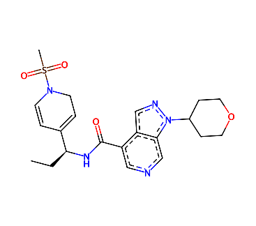 CC[C@H](NC(=O)c1cncc2c1cnn2C1CCOCC1)C1=CCN(S(C)(=O)=O)C=C1